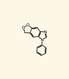 c1ccc(-n2cnc3cc4c(cc32)COO4)cc1